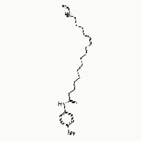 C=CNCCCC/C=C\CCCCCCCCCC(=C)Nc1ccc(CCC)cc1